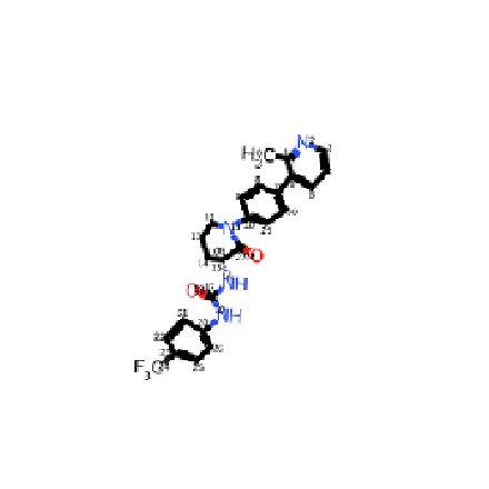 Cc1ncccc1-c1ccc(N2CCC[C@@H](NC(=O)Nc3ccc(C(F)(F)F)cc3)C2=O)cc1